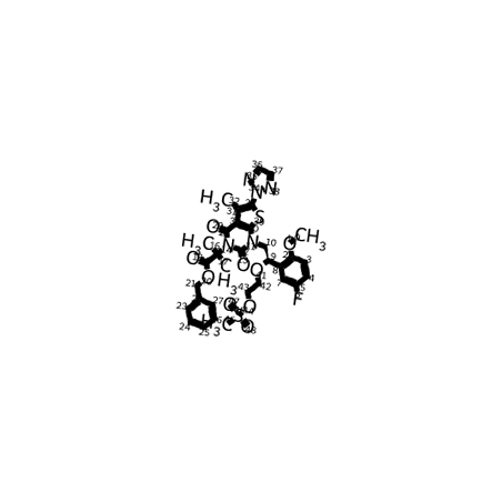 COc1ccc(F)cc1[C@H](Cn1c(=O)n(C(C)(C)C(=O)OCc2ccccc2)c(=O)c2c(C)c(-n3nccn3)sc21)OCCOS(C)(=O)=O